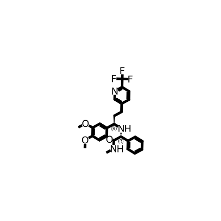 CNC(=O)[C@H](N[C@H](CCc1ccc(C(F)(F)F)nc1)c1ccc(OC)c(OC)c1)c1ccccc1